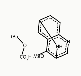 CC(C)(C)OC(=O)O.COc1c2cnc3ccc(cc13)N2